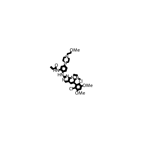 C=CC(=O)Nc1cc(N2CCN(CCOC)CC2)ccc1Nc1ncc2c(n1)N1C=CN(C)C1C(c1c(Cl)c(OC)cc(OC)c1Cl)=C2